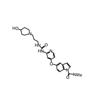 CNC(=O)n1ccc2cc(Oc3ccnc(NC(=O)NCCCN4CCC(O)CC4)c3)ccc21